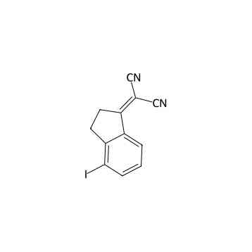 N#CC(C#N)=C1CCc2c(I)cccc21